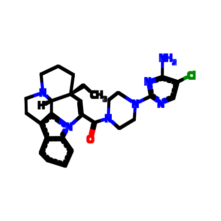 CC[C@]12C=C(C(=O)N3CCN(c4ncc(Cl)c(N)n4)CC3)n3c4c(c5ccccc53)CCN(CCC1)[C@@H]42